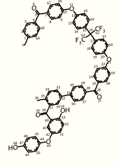 Cc1ccc(C(=O)c2ccc(Oc3ccc(C(c4ccc(Oc5ccc(C(=O)c6ccc(-c7ccc(C)c(C(=O)c8cc(Oc9ccc(O)cc9)ccc8O)c7)cc6)cc5)cc4)(C(F)(F)F)C(F)(F)F)cc3)cc2)cc1